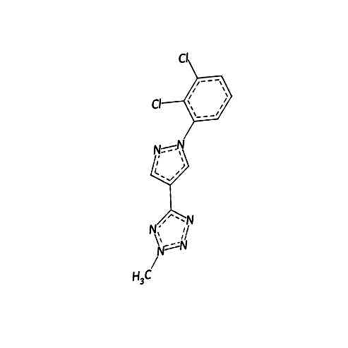 Cn1nnc(-c2cnn(-c3cccc(Cl)c3Cl)c2)n1